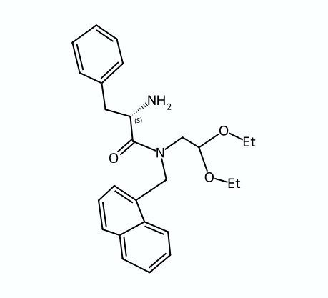 CCOC(CN(Cc1cccc2ccccc12)C(=O)[C@@H](N)Cc1ccccc1)OCC